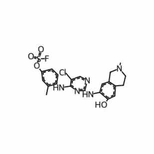 Cc1cc(OS(=O)(=O)F)ccc1Nc1nc(Nc2cc3c(cc2O)CCN(C)C3)ncc1Cl